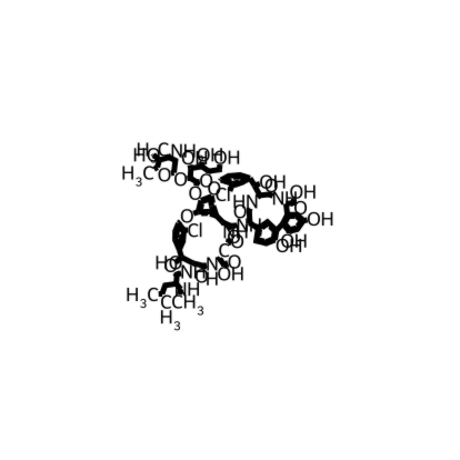 CNC(CC(C)C)C(=O)NC1C(=O)NC(C(=O)O)CC(=O)NC2C(=O)NC3C(=O)NC(C(=O)NC(C(=O)O)c4cc(O)cc(O)c4-c4cc3ccc4O)C(O)c3ccc(c(Cl)c3)Oc3cc2cc(c3OC2OC(CO)C(O)C(O)C2OC2CC(C)(N)C(O)C(C)O2)Oc2ccc(cc2Cl)C1O